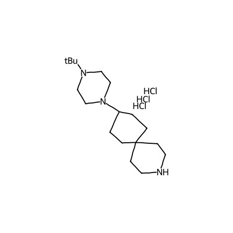 CC(C)(C)N1CCN(C2CCC3(CCNCC3)CC2)CC1.Cl.Cl.Cl